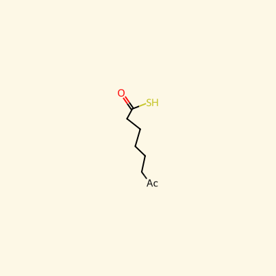 CC(=O)CCCCCC(=O)S